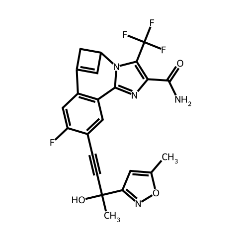 Cc1cc(C(C)(O)C#Cc2cc3c(cc2F)C2=CC(C2)n2c-3nc(C(N)=O)c2C(F)(F)F)no1